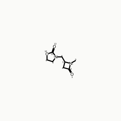 CN1C(=O)CC1CN1CCOC1=O